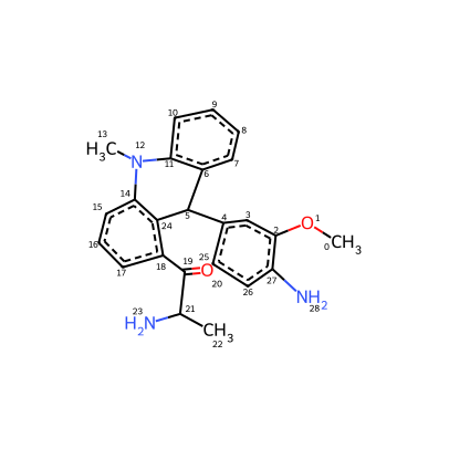 COc1cc(C2c3ccccc3N(C)c3cccc(C(=O)C(C)N)c32)ccc1N